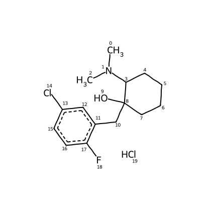 CN(C)C1CCCCC1(O)Cc1cc(Cl)ccc1F.Cl